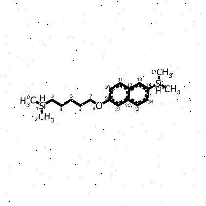 C[SiH](C)CCCCCOc1ccc2cc([SiH](C)C)ccc2c1